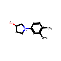 COc1cc(N2CC[C@@H](O)C2)ccc1[N+](=O)[O-]